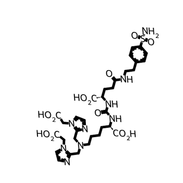 NS(=O)(=O)c1ccc(CCNC(=O)CC[C@H](NC(=O)N[C@@H](CCCCN(Cc2nccn2CC(=O)O)Cc2nccn2CC(=O)O)C(=O)O)C(=O)O)cc1